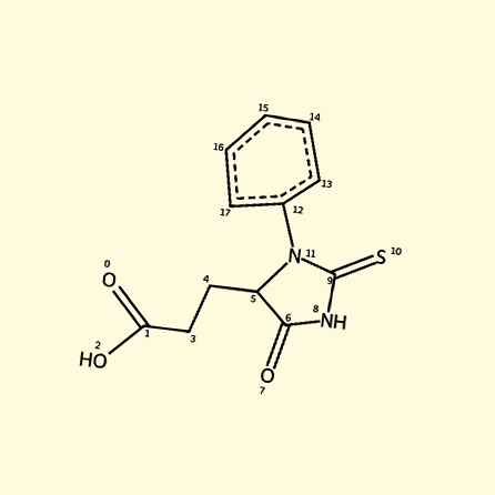 O=C(O)CCC1C(=O)NC(=S)N1c1ccccc1